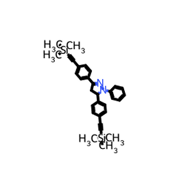 C[Si](C)(C)C#Cc1ccc(C2=NN(c3ccccc3)C(c3ccc(C#C[Si](C)(C)C)cc3)C2)cc1